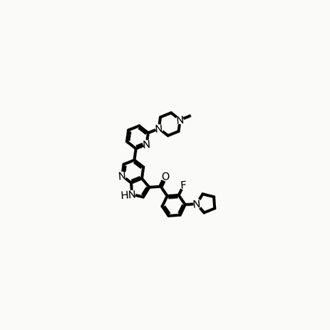 CN1CCN(c2cccc(-c3cnc4[nH]cc(C(=O)c5cccc(N6CCCC6)c5F)c4c3)n2)CC1